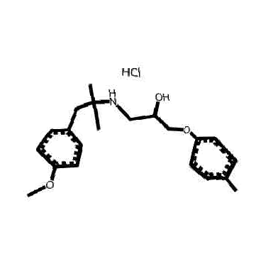 COc1ccc(CC(C)(C)NCC(O)COc2ccc(C)cc2)cc1.Cl